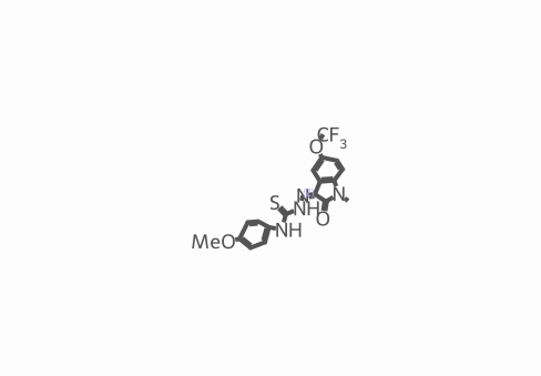 COc1ccc(NC(=S)N/N=C2\C(=O)N(C)c3ccc(OC(F)(F)F)cc32)cc1